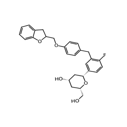 OC[C@@H]1C[C@H](O)C[C@H](c2ccc(F)c(Cc3ccc(OCC4Cc5ccccc5O4)cc3)c2)O1